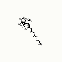 CC(C)CCCCCCCC(=O)O[C@H]1C[C@H]2CC[C@]1(C)C2(C)C